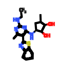 Cc1nc(NCC(F)(F)F)nc(N[C@@H]2CC(C)[C@@H](O)[C@H]2O)c1-c1nc2ccccc2s1